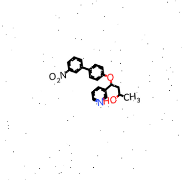 CC(O)CC(Oc1ccc(-c2cccc([N+](=O)[O-])c2)cc1)c1cccnc1